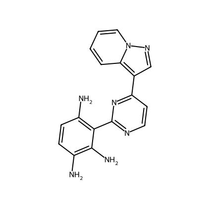 Nc1ccc(N)c(-c2nccc(-c3cnn4ccccc34)n2)c1N